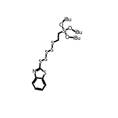 CCC(C)O[Si](CCSSSSSc1nc2ccccc2s1)(OC(C)CC)OC(C)CC